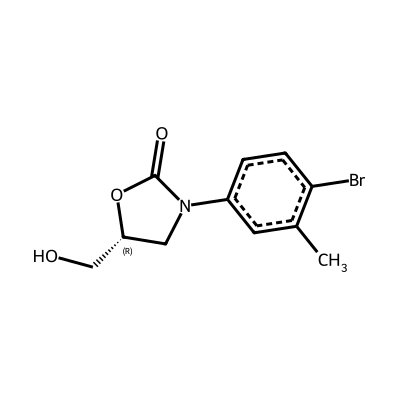 Cc1cc(N2C[C@H](CO)OC2=O)ccc1Br